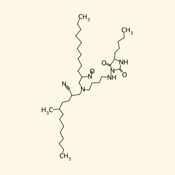 CCCCCCCCCCC(CN(CCCCNN1C(=O)NC(CCCCC)C1=O)CC(C#N)CCC(C)CCCCCCCC)N=O